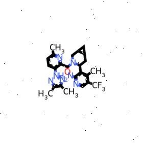 Cc1ccc(-n2nc(C)c(C)n2)c(C(=O)N2CC3CC3CC2c2c(N)ncc(C(F)(F)F)c2C)n1